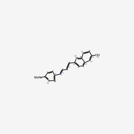 CNc1ccc(/C=C/C=C/c2ccc3cc(O)ccc3n2)cn1